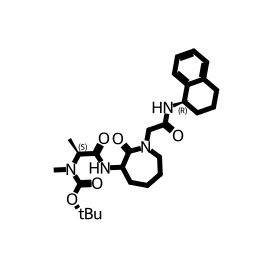 C[C@@H](C(=O)NC1CCCCN(CC(=O)N[C@@H]2CCCc3ccccc32)C1=O)N(C)C(=O)OC(C)(C)C